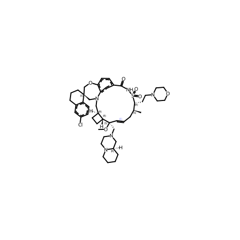 CO[C@]1(CN2CCN3CCCC[C@@H]3C2)/C=C/C[C@H](C)[C@@H](CCN2CCOCC2)S(=O)(=O)NC(=O)c2ccc3c(c2)N(C[C@@H]2CC[C@H]21)C[C@@]1(CCCc2cc(Cl)ccc21)CO3